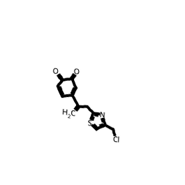 C=C(Cc1nc(CCl)cs1)C1=CC(=O)C(=O)C=C1